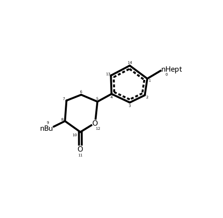 CCCCCCCc1ccc(C2CCC(CCCC)C(=O)O2)cc1